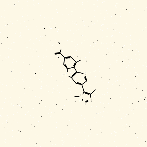 COC(=O)c1cc(F)c2c(c1)[nH]c1cc(-c3c(C)nnn3C)cnc12